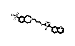 CCS(=O)(=O)c1ccc2c(c1)CCN(CCCSc1nnc(-c3ccc4cccnc4c3)n1C)CC2